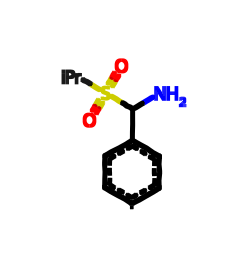 CC(C)S(=O)(=O)C(N)c1cc[c]cc1